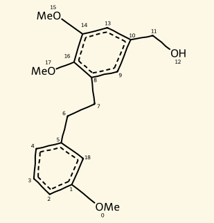 COc1cccc(CCc2cc(CO)cc(OC)c2OC)c1